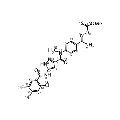 COC(=S)ON=C(N)c1ccc(N(C)C(=O)c2cc(NC(=O)c3cc(F)c(F)cc3Cl)[nH]n2)cc1